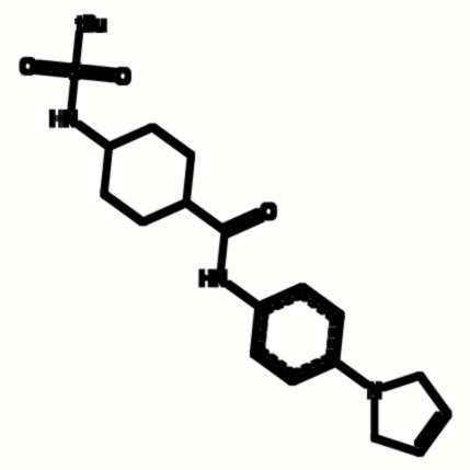 CC(C)(C)S(=O)(=O)NC1CCC(C(=O)Nc2ccc(N3CC=CC3)cc2)CC1